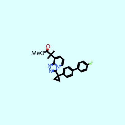 COC(=O)C(C)(C)c1cccn2c(C3(c4ccc(-c5ccc(F)cc5)cc4)CC3)nnc12